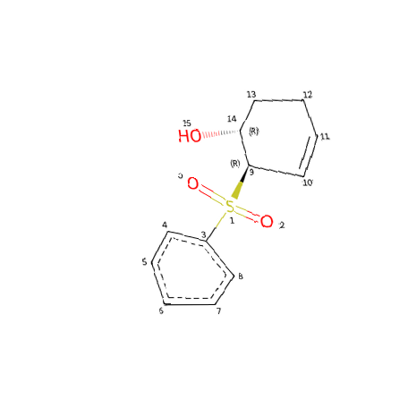 O=S(=O)(c1ccccc1)[C@@H]1C=CCC[C@H]1O